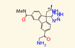 CNC(=O)c1ccc2c(c1)-c1cc(C(=O)CN)ccc1C2(C[C@@H](C)N)c1nn[nH]n1